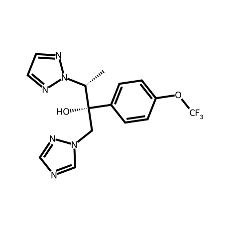 C[C@@H](n1nccn1)[C@](O)(Cn1cncn1)c1ccc(OC(F)(F)F)cc1